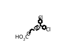 O=C(O)COC/C=C\CN1CCN(C(c2ccc(Cl)cc2)c2ccc(Cl)cc2)CC1